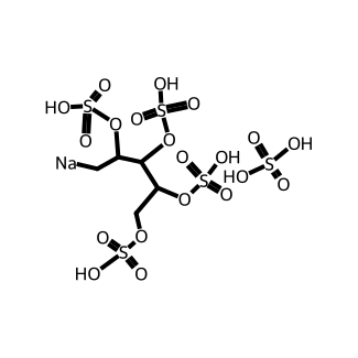 O=S(=O)(O)O.O=S(=O)(O)OCC(OS(=O)(=O)O)C(OS(=O)(=O)O)C([CH2][Na])OS(=O)(=O)O